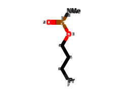 CNS(=O)OCCCC(C)C